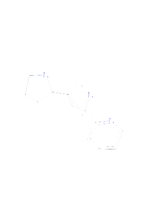 c1ccc(-c2cc(C3CCC[N]3)on2)nc1